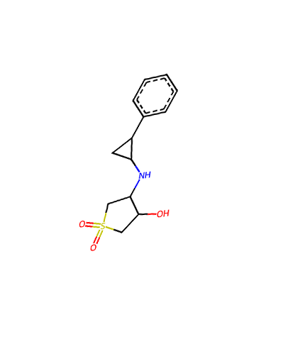 O=S1(=O)CC(O)C(NC2CC2c2ccccc2)C1